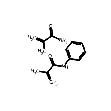 C=C(C)C(=O)Nc1ccccc1.C=C(C)C(N)=O